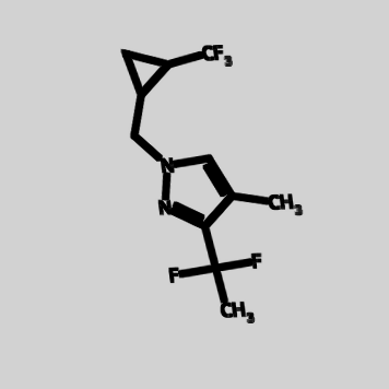 Cc1cn(CC2CC2C(F)(F)F)nc1C(C)(F)F